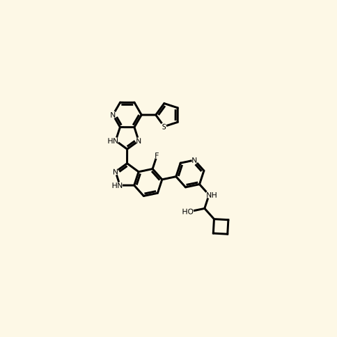 OC(Nc1cncc(-c2ccc3[nH]nc(-c4nc5c(-c6cccs6)ccnc5[nH]4)c3c2F)c1)C1CCC1